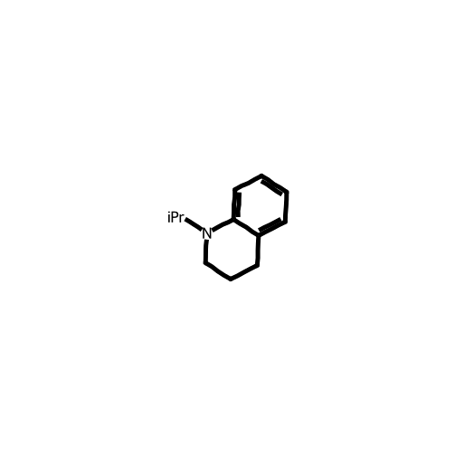 CC(C)N1CCCc2ccccc21